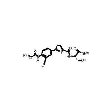 COC(=O)[C@H](CO)NC(=O)c1csc(-c2ccc(NC(=O)OC(C)(C)C)c(F)c2)n1